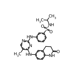 Cc1cnc(Nc2cccc(S(=O)(=O)NC(C)C)c2)nc1Nc1ccc2c(c1)CCC(=O)N2